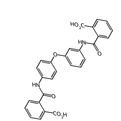 O=C(O)c1ccccc1C(=O)Nc1ccc(Oc2cccc(NC(=O)c3ccccc3C(=O)O)c2)cc1